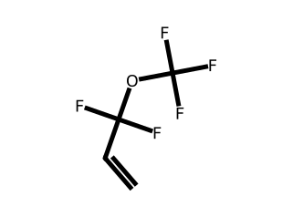 C=CC(F)(F)OC(F)(F)F